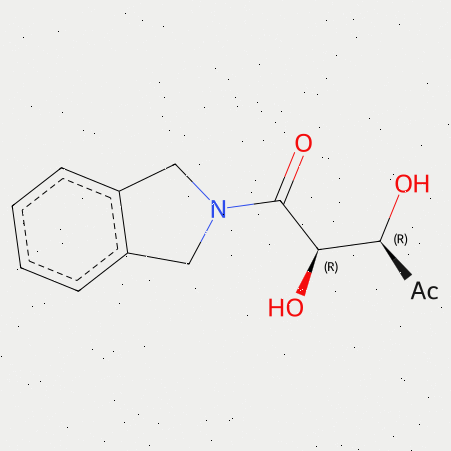 CC(=O)[C@H](O)[C@@H](O)C(=O)N1Cc2ccccc2C1